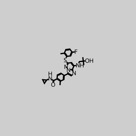 Cc1ccc(F)cc1Sc1cc(NCC(C)(C)O)c2ncc(-c3ccc(C(=O)NC4CC4)c(C)c3)n2n1